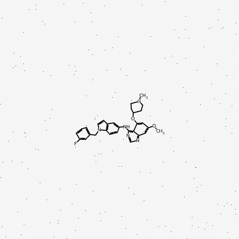 COc1cc(OC2CCN(C)CC2)c2c(Nc3ccc4c(ccn4Cc4cccc(F)c4)c3)ncnc2c1